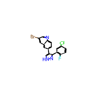 Fc1ccc(Cl)cc1-c1n[nH]cc1-c1ccc2ncc(Br)cc2c1